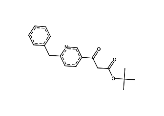 CC(C)(C)OC(=O)CC(=O)c1ccc(Cc2ccccc2)nc1